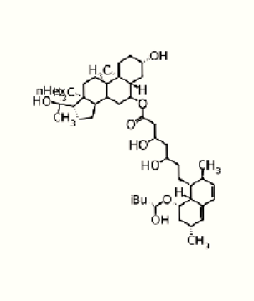 CCCCCC[C@](C)(O)[C@H]1CCC2C3C[C@H](OC(=O)C[C@H](O)C[C@H](O)CC[C@@H]4[C@@H]5C(=C[C@H](C)C[C@@H]5OC(O)[C@@H](C)CC)C=C[C@@H]4C)[C@H]4C[C@@H](O)CC[C@]4(C)C3CC[C@@]21C